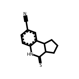 N#Cc1ccc2c(c1)C1CCCC1C(=S)N2